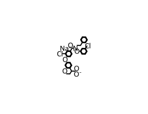 O=C([O-])C1CCOc2cc(Oc3ccc(C(=O)N(CCc4ccccc4)Oc4cccc(Cl)c4)cc3Cl)ccc21.[Na+]